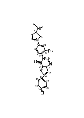 CN(C)C1CCN(c2ccc(-n3cnc4cc(-c5ccc(Cl)cc5)sc4c3=O)c(F)c2)C1